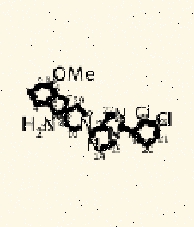 COc1cccc2c1CC1(CCN(c3nccn4c(-c5cccc(Cl)c5Cl)ncc34)CC1)[C@@H]2N